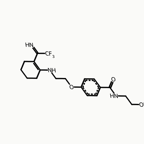 N=C(C1=C(NCCOc2ccc(C(=O)NCCO)cc2)CCCC1)C(F)(F)F